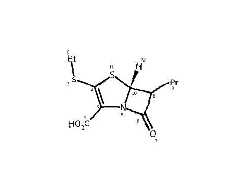 CCSC1=C(C(=O)O)N2C(=O)C(C(C)C)[C@H]2S1